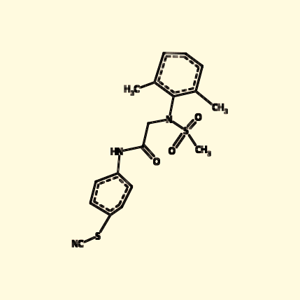 Cc1cccc(C)c1N(CC(=O)Nc1ccc(SC#N)cc1)S(C)(=O)=O